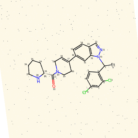 CCC(c1ccc(Cl)cc1Cl)n1ncc2ccc(C3=CCN(C(=O)[C@H]4CCCCN4)CC3)cc21